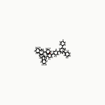 c1ccc(-c2cc(-c3ccc(-c4ccc(-n5c6ccccc6c6sc7c8ccccc8nc(-c8ccccc8)c7c65)cc4)cc3)nc(-c3ccccc3)n2)cc1